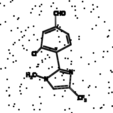 Cn1cc(C(F)(F)F)nc1-c1ccc(C=O)cc1Cl